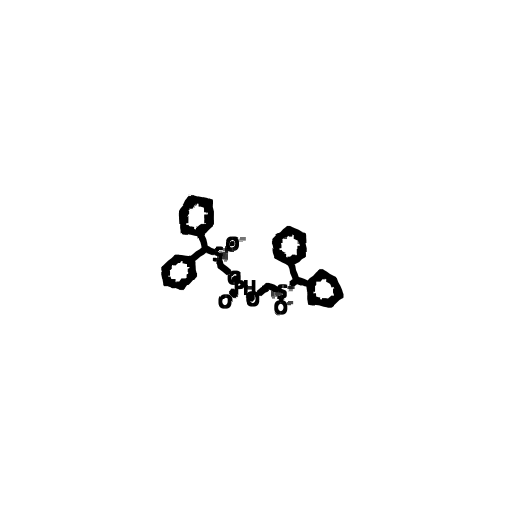 O=[PH](OC[S@@+]([O-])C(c1ccccc1)c1ccccc1)OC[S@@+]([O-])C(c1ccccc1)c1ccccc1